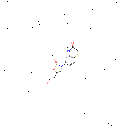 O=C1CSc2ccc(N3CC(CCO)OC3=O)cc2N1